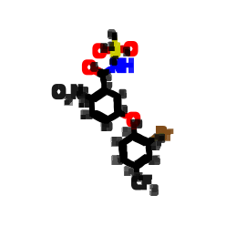 CS(=O)(=O)NC(=O)c1cc(Oc2ccc(C(F)(F)F)cc2Br)ccc1[N+](=O)[O-]